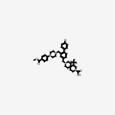 COC(=O)c1ccc(N2CCN(Cc3cc(CN4CCC5(CC4)CCN(C(=O)O)CC5C(C)(C)C)ccc3-c3ccc(Cl)cc3)CC2)cc1